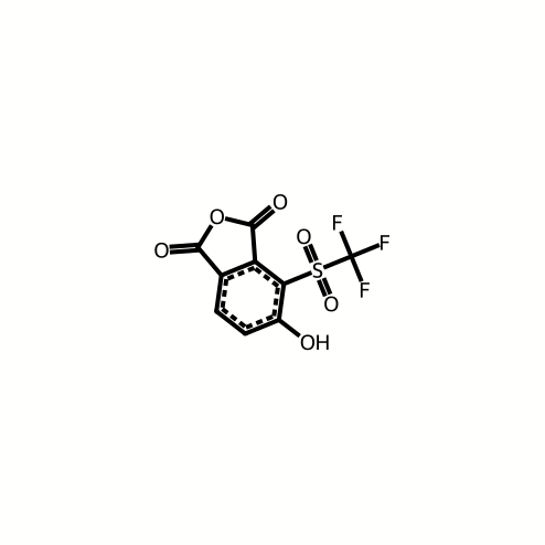 O=C1OC(=O)c2c1ccc(O)c2S(=O)(=O)C(F)(F)F